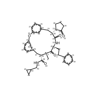 CN1C(=O)[C@H](CCc2ccccc2)NC(=O)[C@@H](N2CCCC2=O)Cc2cccc(c2)Oc2cccc(c2)C[C@H]1C(=O)NCC1CC1